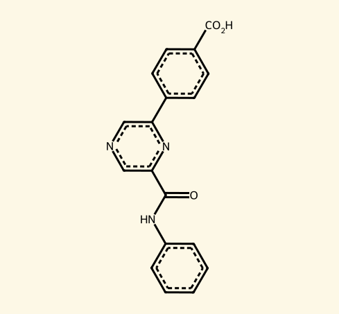 O=C(O)c1ccc(-c2cncc(C(=O)Nc3ccccc3)n2)cc1